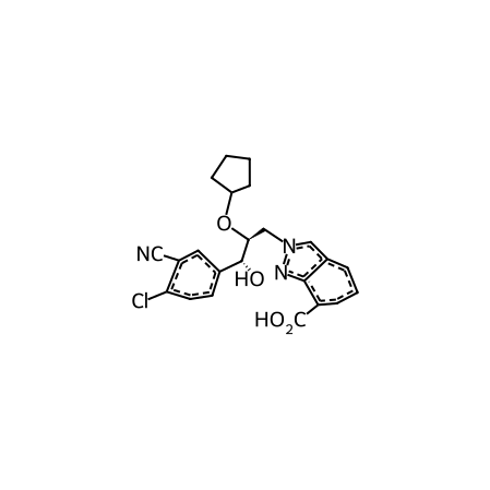 N#Cc1cc([C@@H](O)[C@H](Cn2cc3cccc(C(=O)O)c3n2)OC2CCCC2)ccc1Cl